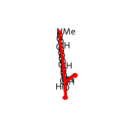 CNCCCOCCOCCOCCCNC(=O)CCOCCOCCOCCOCCOCCC(=O)NCCCOCCOCCOCCCNC(=O)[C@H](CCCCNC(=O)/C=C(C)/C=C/C=C(C)/C=C/C1=C(C)CCCC1(C)C)NC(=O)/C=C(C)/C=C/C=C(C)/C=C/C1=C(C)CCCC1(C)C